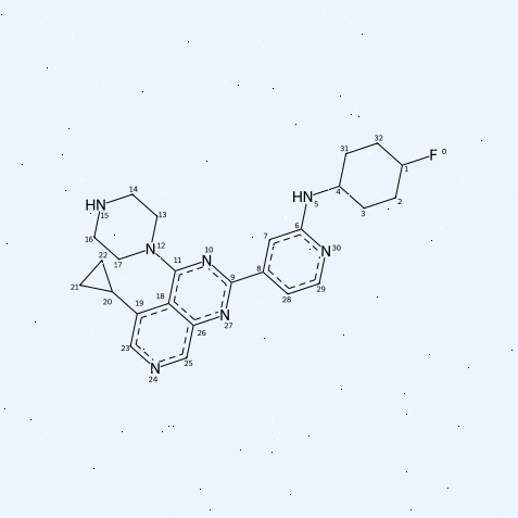 FC1CCC(Nc2cc(-c3nc(N4CCNCC4)c4c(C5CC5)cncc4n3)ccn2)CC1